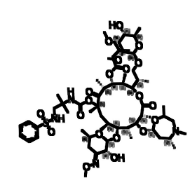 CON=C1C[C@@H](C)O[C@@H](O[C@@H]2[C@@H](C)[C@H](O[C@H]3C[C@@H](C)N(C)CC(C)O3)[C@@H](C)C(=O)O[C@H]([C@@H](C)CO[C@@H]3O[C@H](C)[C@@H](O)[C@@H](OC)[C@H]3OC)[C@H](C)[C@@H](OC(=O)CC(C)C)[C@@H](C)C(=O)[C@@](C)(OC(=O)NC(C)(C)CNS(=O)(=O)c3ccccc3)C[C@@H]2C)[C@@H]1O